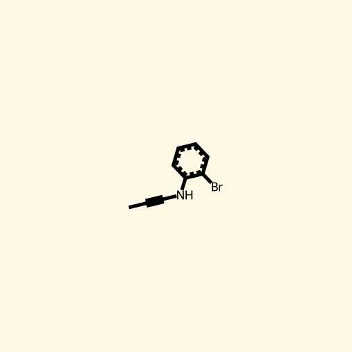 CC#CNc1ccccc1Br